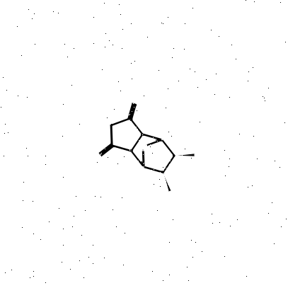 C[C@@H]1C2OC(C3C(=O)CC(=O)C32)[C@@H]1C